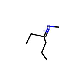 CCC/C(CC)=N\C